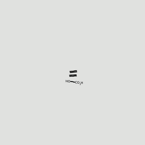 C=C.C=C.O=C(O)O